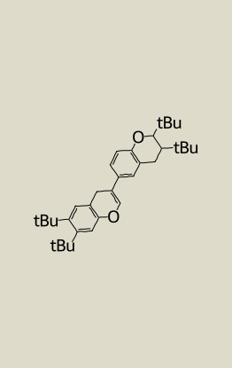 CC(C)(C)c1cc2c(cc1C(C)(C)C)OC=C(c1ccc3c(c1)CC(C(C)(C)C)C(C(C)(C)C)O3)C2